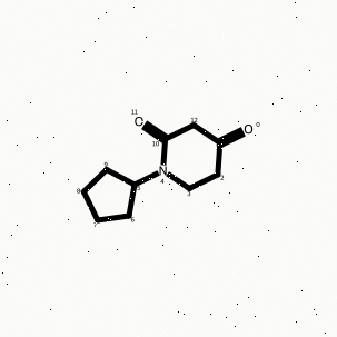 O=C1CCN(C2CCCC2)C(=O)C1